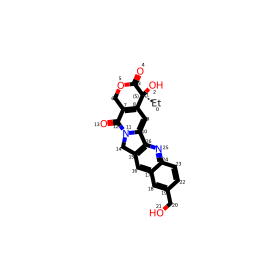 CC[C@@]1(O)C(=O)OCc2c1cc1n(c2=O)Cc2cc3cc(CO)ccc3nc2-1